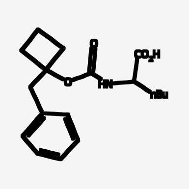 CCCCC(NC(=O)OC1(Cc2ccccc2)CCC1)C(=O)O